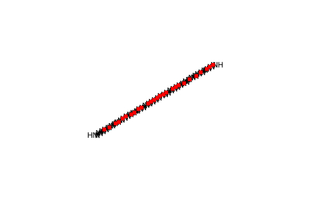 N=N/N=N/N=N/N=N/N=N/N=N/N=N/N=N/N=N/N=N/N=N/N=N/N=N/N=N/N=N/N=N/N=N/N=N/N=N/N=N/N=N/N=N/N=N/N=N/N=N/N=N/N=N/N=N/N=N/N=N/N=N/N=N/N=N/N=N/N=N/N=N/N=N/N=N/N=N